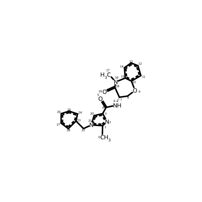 Cc1nc(C(=O)N[C@H]2COc3ccccc3N(C)C2=O)cn1Cc1ccccc1